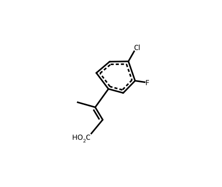 CC(=CC(=O)O)c1ccc(Cl)c(F)c1